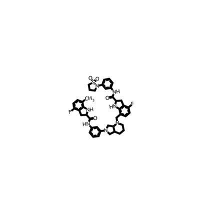 Cc1ccc(F)c2c1NC(C(=O)Nc1cccc(N3CC4CCCN(Cc5ccc(F)c6c5NC(C(=O)Nc5cccc(N7CCCS7(=O)=O)c5)C6)C4C3)c1)C2